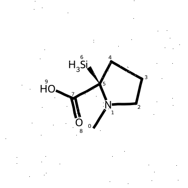 CN1CCC[C@@]1([SiH3])C(=O)O